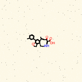 C/C1=C\C(=O)/C(C(=O)O)=C\NCCc2c1cc(-c1cccc(C)c1)c1c2CCO1